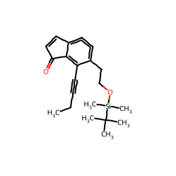 CCC#CC1=C2C(=O)C=CC2=C=C=C1CCO[Si](C)(C)C(C)(C)C